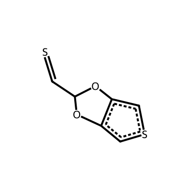 S=CC1Oc2cscc2O1